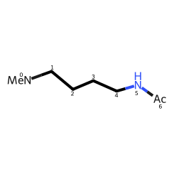 CNCCCCNC(C)=O